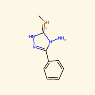 C/[SH]=c1\[nH]nc(-c2ccccc2)n1N